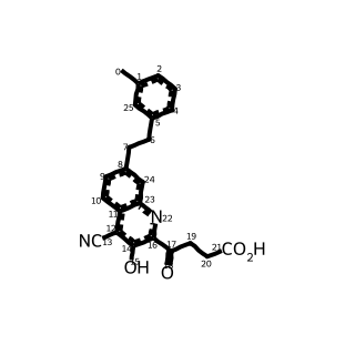 Cc1cccc(CCc2ccc3c(C#N)c(O)c(C(=O)CCC(=O)O)nc3c2)c1